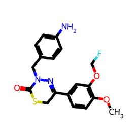 COc1ccc(C2=NN(Cc3ccc(N)cc3)C(=O)SC2)cc1OCF